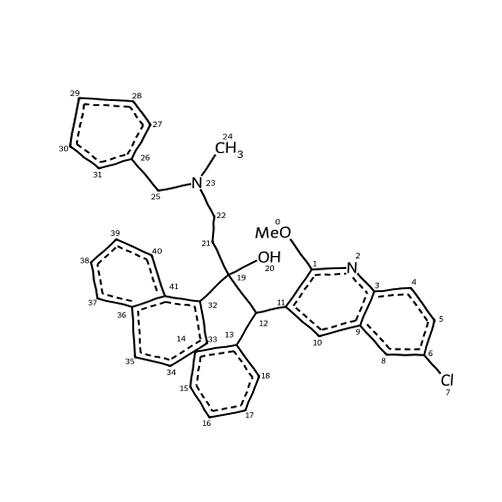 COc1nc2ccc(Cl)cc2cc1C(c1ccccc1)C(O)(CCN(C)Cc1ccccc1)c1cccc2ccccc12